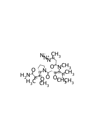 CC[C@H](C)[C@@H]([C@@H](CC(=O)N1CCC[C@H]1[C@H](OC)[C@@H](C)C(N)=O)OC)N(C)C(=O)C[C@H](C)N=[N+]=[N-]